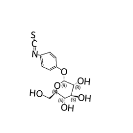 OC[C@H]1O[C@H](Oc2ccc(N=C=S)cc2)[C@H](O)[C@@H](O)[C@@H]1O